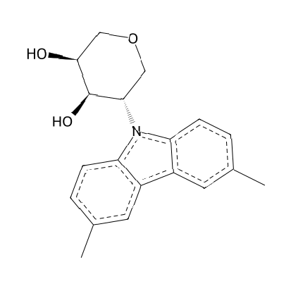 Cc1ccc2c(c1)c1cc(C)ccc1n2[C@H]1COC[C@H](O)[C@@H]1O